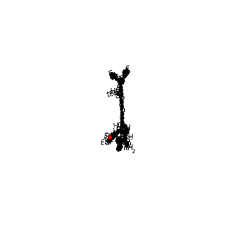 CCOP(=O)(OCC)C(F)(F)c1ccc2[nH]c(C(=O)N[C@H]3CN(C(=O)CCCOCCOCCOCCOCCN(C[C@@H](O)COc4ccc(OCc5ccc(F)cc5)c(OCc5ccc(F)cc5)c4)C(=O)OC(C)(C)C)CC[C@H]4CC[C@@H](C(=O)N[C@@H](CCC(N)=O)C(=O)NC(c5ccccc5)c5ccccc5)N4C3=O)cc2c1